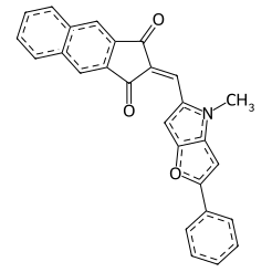 Cn1c(C=C2C(=O)c3cc4ccccc4cc3C2=O)cc2oc(-c3ccccc3)cc21